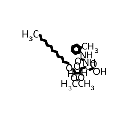 CCCCCCCCCCCCO[C@H]1O[C@H]([C@@H](CC(=O)O)NC(=O)Nc2ccccc2C)[C@@H]2OC(C)(C)O[C@H]12